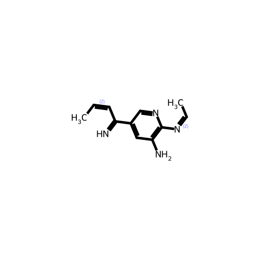 C/C=C\C(=N)c1cnc(/N=C\C)c(N)c1